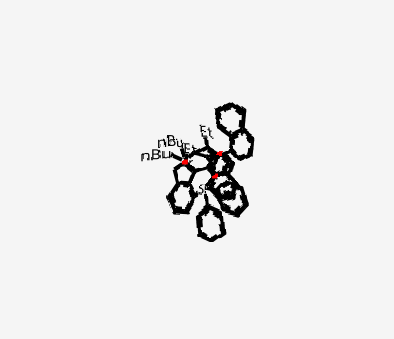 CCC[CH2][Zr]1([CH2]CCC)[CH]2C(CC)=C(c3cccc4ccccc34)c3c2cccc3[Si](c2ccccc2)(c2ccccc2)c2cccc3c2C(c2cccc4ccccc24)=C(CC)[CH]31